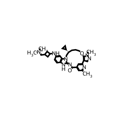 Cc1cc2cc(n1)-c1cnn(C)c1OCCC[C@@H](C1CC1)CN1/C(=N/C2=O)Nc2ccc(NC3CC(C=[N+](C)C)C3)cc21